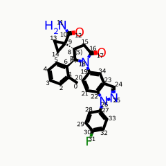 Cc1ccccc1[C@H]1[C@H](C2(C(N)=O)CC2)CC(=O)N1c1ccc2c(cnn2-c2ccc(F)cc2)c1